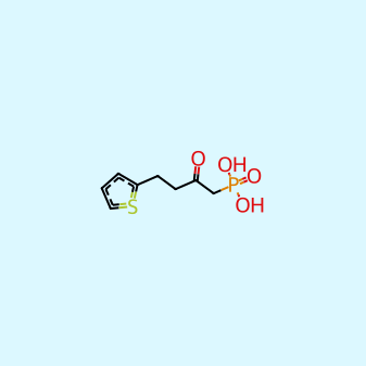 O=C(CCc1cccs1)CP(=O)(O)O